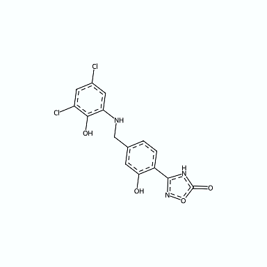 O=c1[nH]c(-c2ccc(CNc3cc(Cl)cc(Cl)c3O)cc2O)no1